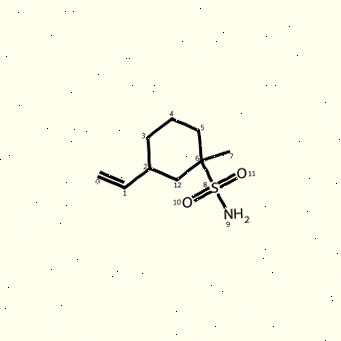 C=CC1CCCC(C)(S(N)(=O)=O)C1